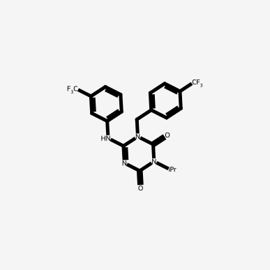 CC(C)n1c(=O)nc(Nc2cccc(C(F)(F)F)c2)n(Cc2ccc(C(F)(F)F)cc2)c1=O